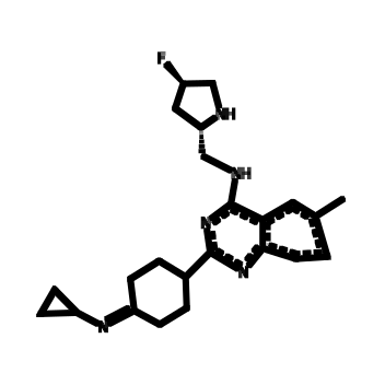 Cc1ccc2nc(C3CCC(=NC4CC4)CC3)nc(NC[C@@H]3C[C@@H](F)CN3)c2c1